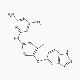 Nc1cc(Nc2ccc(Oc3ccc4[nH]ncc4c3)c(F)c2)nc(N)n1